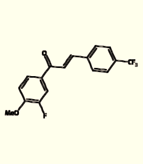 COc1ccc(C(=O)/C=C/c2ccc(C(F)(F)F)cc2)cc1F